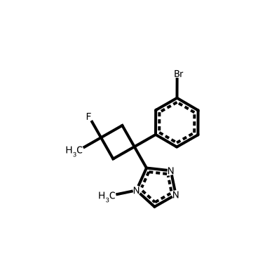 Cn1cnnc1C1(c2cccc(Br)c2)CC(C)(F)C1